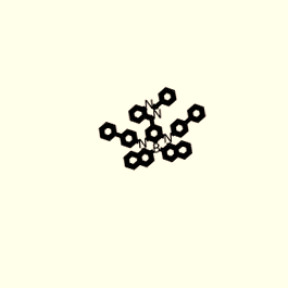 c1ccc(-c2ccc(N3c4cc(-c5nc(-c6ccccc6)nc6ccccc56)cc5c4B(c4ccc6ccccc6c43)c3ccc4ccccc4c3N5c3ccc(-c4ccccc4)cc3)cc2)cc1